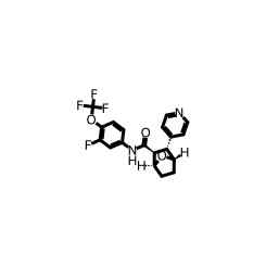 O=C(Nc1ccc(OC(F)(F)F)c(F)c1)[C@H]1[C@H](c2ccncc2)[C@@H]2CC[C@@H]1O2